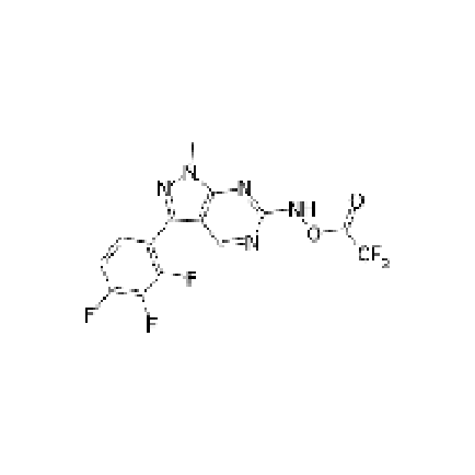 Cn1nc(-c2ccc(F)c(F)c2F)c2cnc(NOC(=O)C(F)(F)F)nc21